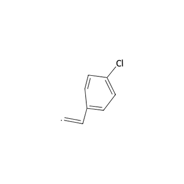 [CH]=Cc1ccc(Cl)cc1